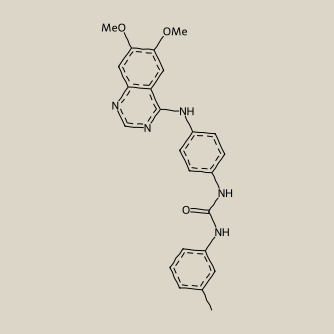 COc1cc2ncnc(Nc3ccc(NC(=O)Nc4cccc(C)c4)cc3)c2cc1OC